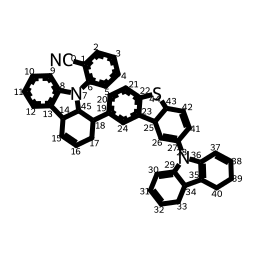 N#Cc1ccccc1N1c2ccccc2C2C=CCC(c3ccc4c(c3)C3C=C(N5C6=CC=CCC6C6=C5C=CCC6)C=CC3S4)C21